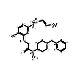 Cc1cnc(N)nc1NCC(=O)N(C)C1CCN(Cc2ccccc2)CC1.O=C(O)C=CC(=O)O